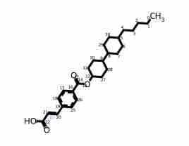 CCCCCC1CCC(C2CCC(OC(=O)c3ccc(/C=C/C(=O)O)cc3)CC2)CC1